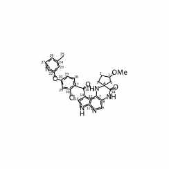 COC1CCC2(C1)Nc1c(cnc3[nH]cc(C(=O)c4ccc(Oc5cc(C)ccn5)cc4Cl)c13)NC2=O